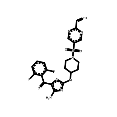 C=Cc1ncc(S(=O)(=O)N2CCC(Nc3nc(N)c(C(=O)c4c(F)cccc4F)s3)CC2)cn1